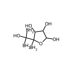 BC(B)(O)C1(B)OC(O)C(O)C1O